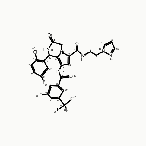 O=C1Cn2c(C(=O)NCCn3cccn3)cc(NC(=O)c3cc(F)cc(C(F)(F)F)c3)c2C(c2cc(F)ccc2Cl)N1